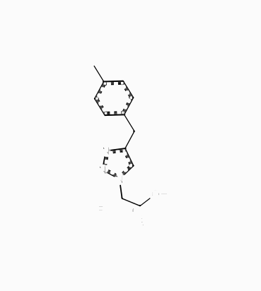 CC[C@@H]([C@@H](C)O)n1cc(Cc2ccc(C)cc2)nn1